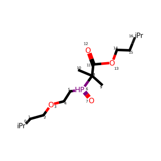 CC(C)CCOCC[PH](=O)C(C)(C)C(=O)OCCC(C)C